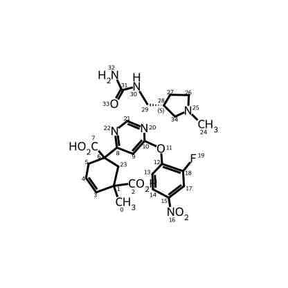 CC1(C(=O)O)C=CCC(C(=O)O)(c2cc(Oc3ccc([N+](=O)[O-])cc3F)ncn2)C1.CN1CC[C@@H](CNC(N)=O)C1